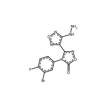 NNc1nonc1-c1noc(=O)n1-c1ccc(F)c(Br)c1